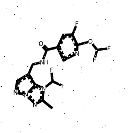 Cc1nn2ncc(CNC(=O)c3cnc(OC(F)F)c(F)c3)c2n1C(F)F